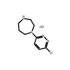 Cl.Clc1ccc(N2CCCNCC2)nn1